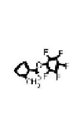 Cc1ccccc1C(=S)Oc1c(F)c(F)c(F)c(F)c1F